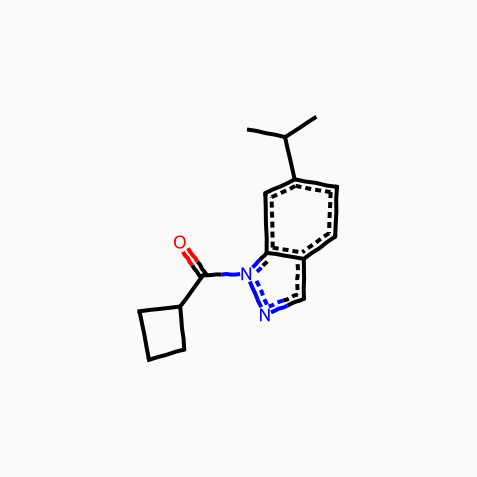 CC(C)c1ccc2cnn(C(=O)C3CCC3)c2c1